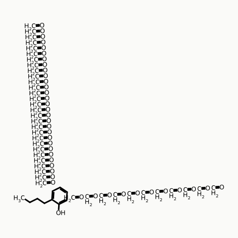 C=O.C=O.C=O.C=O.C=O.C=O.C=O.C=O.C=O.C=O.C=O.C=O.C=O.C=O.C=O.C=O.C=O.C=O.C=O.C=O.C=O.C=O.C=O.C=O.C=O.C=O.C=O.C=O.C=O.C=O.C=O.C=O.C=O.C=O.C=O.C=O.C=O.C=O.C=O.C=O.CCCCc1ccccc1O